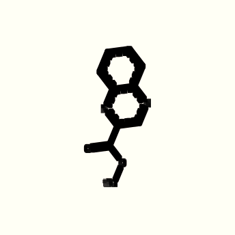 CC(C)(C)OC(=O)c1cnc2ccccc2n1